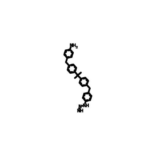 CC(C)(c1ccc(Cc2ccc(N)cc2)cc1)c1ccc(Cc2ccc(NN=N)cc2)cc1